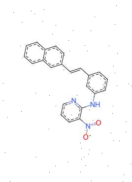 O=[N+]([O-])c1cccnc1Nc1cccc(/C=C/c2ccc3ccccc3c2)c1